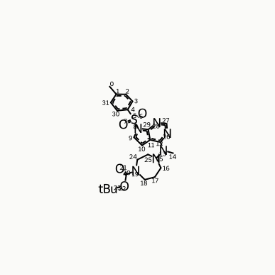 Cc1ccc(S(=O)(=O)n2ccc3c(N(C)N4CCCN(C(=O)OC(C)(C)C)CC4)ncnc32)cc1